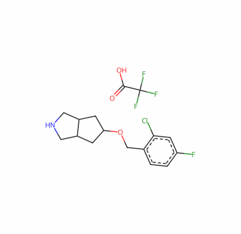 Fc1ccc(COC2CC3CNCC3C2)c(Cl)c1.O=C(O)C(F)(F)F